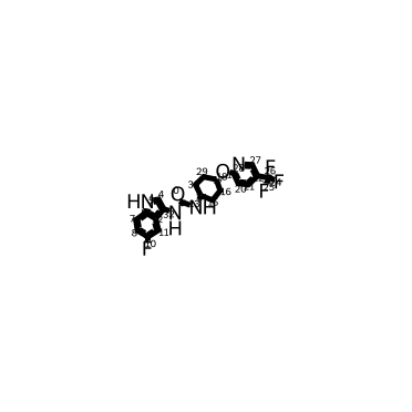 O=C(Nc1c[nH]c2ccc(F)cc12)NC1CCC(Oc2ccc(C(F)(F)F)cn2)CC1